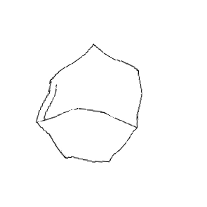 C1=C2CCC(CC1)CC2